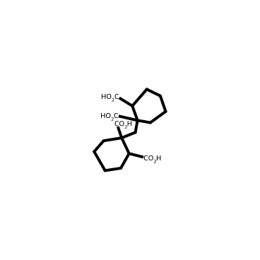 O=C(O)C1CCCCC1(CC1(C(=O)O)CCCCC1C(=O)O)C(=O)O